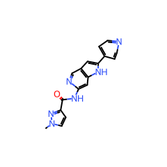 Cn1ccc(C(=O)Nc2cc3[nH]c(-c4ccncc4)cc3cn2)n1